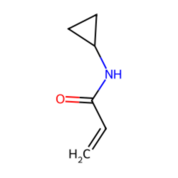 C=CC(=O)NC1CC1